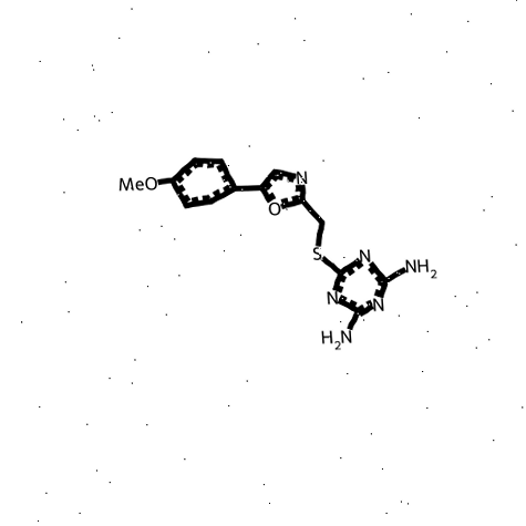 COc1ccc(-c2cnc(CSc3nc(N)nc(N)n3)o2)cc1